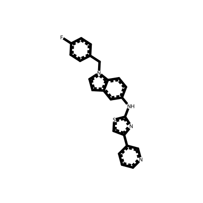 Fc1ccc(Cn2ccc3cc(Nc4nc(-c5cccnc5)cs4)ccc32)cc1